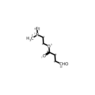 CCN(C)CCOC(=O)CCC=O